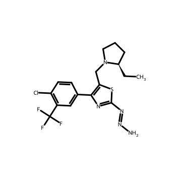 CC[C@@H]1CCCN1Cc1sc(N=NN)nc1-c1ccc(Cl)c(C(F)(F)F)c1